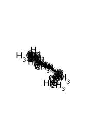 CNC(=O)CCC(C=O)N(C)Cc1c(C#CCCN2CCN(C3CCN(c4ccc(Nc5ncc(Cl)c(Nc6ccccc6P(C)(C)=O)n5)c(OC)c4)CC3)CC2)cccc1C=O